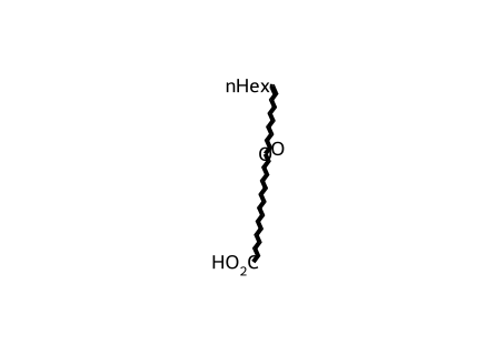 CCCCCC/C=C\CCCCCCCC(=O)OCCCCCCCCCCCCCCCC(=O)O